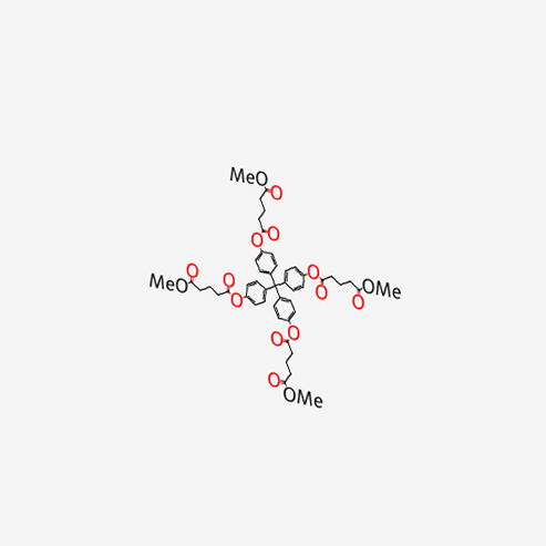 COC(=O)CCCC(=O)Oc1ccc(C(c2ccc(OC(=O)CCCC(=O)OC)cc2)(c2ccc(OC(=O)CCCC(=O)OC)cc2)c2ccc(OC(=O)CCCC(=O)OC)cc2)cc1